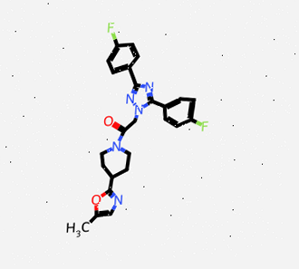 Cc1cnc(C2CCN(C(=O)Cn3nc(-c4ccc(F)cc4)nc3-c3ccc(F)cc3)CC2)o1